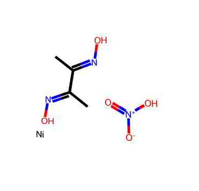 CC(=N\O)/C(C)=N/O.O=[N+]([O-])O.[Ni]